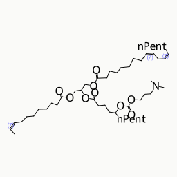 C/C=C\CCCCCCCC(=O)OCC(COC(=O)CCCCCCC/C=C\C/C=C\CCCCC)OC(=O)CCCC(CCCCC)OC(=O)OCCCN(C)C